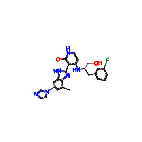 Cc1cc(-n2ccnc2)cc2[nH]c(-c3c(N[C@H](CO)Cc4cccc(F)c4)cc[nH]c3=O)nc12